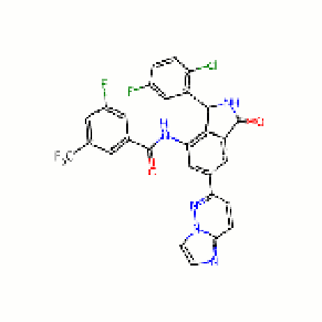 O=C(Nc1cc(-c2ccc3nccn3n2)cc2c1C(c1cc(F)ccc1Cl)NC2=O)c1cc(F)cc(C(F)(F)F)c1